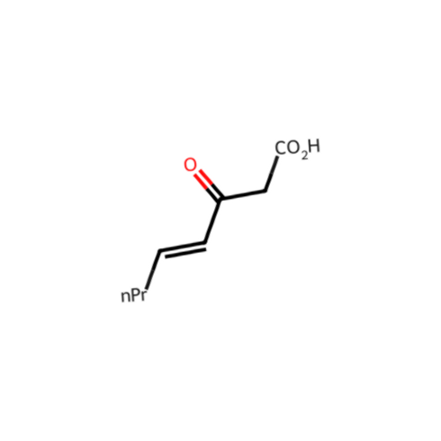 CCCC=CC(=O)CC(=O)O